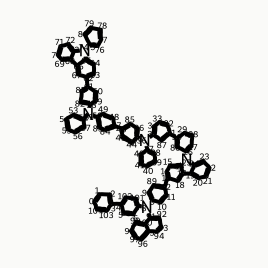 c1ccc(-c2ccc(N(c3ccc(-c4ccc5c(c4)c4ccccc4n5-c4cccc(-c5cccc(N(c6ccccc6)c6ccc(-c7ccc(N(c8ccccc8)c8ccc(-c9ccc%10c(c9)c9ccccc9n%10-c9ccccc9)cc8)cc7)cc6)c5)c4)cc3)c3cccc4ccccc34)cc2)cc1